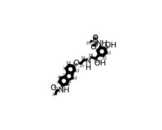 CC(=O)Nc1ccc2c(c1)Cc1cc(OCCNCC(O)c3ccc(O)c(NS(C)(=O)=O)c3)ccc1-2